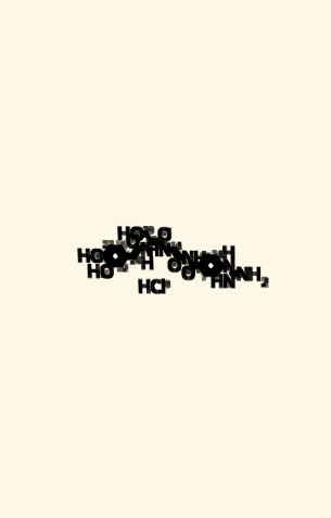 Cl.N=C(N)Nc1ccc(C(=O)NC(=O)CNC(=O)[C@H](CO)NC(=O)Cc2ccc(O)c(O)c2)cc1